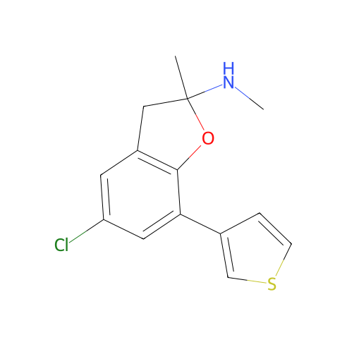 CNC1(C)Cc2cc(Cl)cc(-c3ccsc3)c2O1